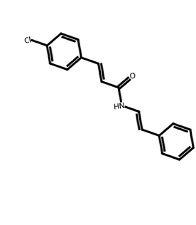 O=C(C=Cc1ccc(Cl)cc1)NC=Cc1ccccc1